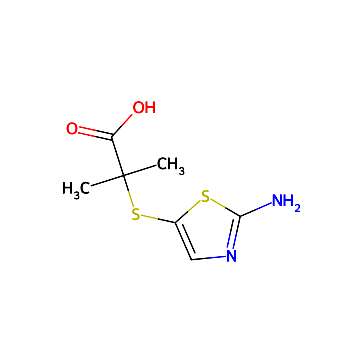 CC(C)(Sc1cnc(N)s1)C(=O)O